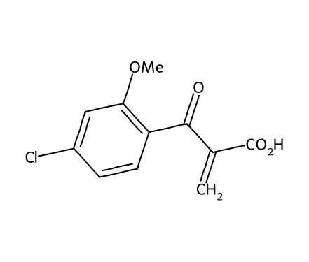 C=C(C(=O)O)C(=O)c1ccc(Cl)cc1OC